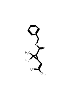 CC(C)=CC1C(C(=O)OCc2ccccc2)C1(C)C